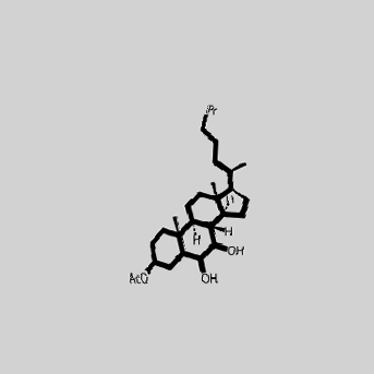 CC(=O)OC1CC[C@@]2(C)C(C1)C(O)C(O)[C@H]1[C@@H]3CC[C@H]([C@H](C)CCCC(C)C)[C@@]3(C)CC[C@@H]12